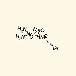 COc1cc(CNC(=O)CCCC/C=C/C(C)C)ccc1CC(=O)N(CCN)CCN